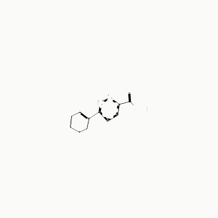 O=C(O)c1ccc(C2=CCCCC2)nn1